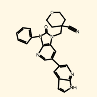 N#CC1(Cn2c(=O)n(-c3ccccc3)c3ncc(-c4cnc5[nH]ccc5c4)cc32)CCOCC1